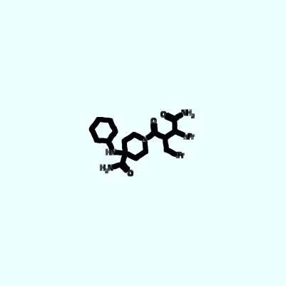 CCCC(C(N)=O)C(CC(C)C)C(=O)N1CCC(NC2CCCCC2)(C(N)=O)CC1